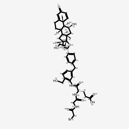 C[C@]12C=CC(=O)C=C1CC[C@@H]1[C@@H]2[C@@H](O)C[C@@]2(C)[C@H]1C[C@H]1O[C@@H](c3ccc(Cc4ccc(CO)c(NC(=O)[C@H](CCC(=O)O)NC(=O)CNC(=O)CBr)c4)cc3)O[C@]12C(=O)CO